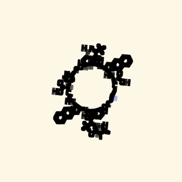 CN[C@@H](C)C(=O)N[C@H](C(=O)N1CC[C@H]2OC/C=C/CC[C@@H](C(=O)O)NC(=O)[C@H](Cc3ccc4ccccc4c3)NC(=O)[C@@H]3[C@@H](CCN3C(=O)C(P)C(C)(C)C)OCc3cn(nn3)[C@H](C(=O)O)CCNC(=O)[C@H](Cc3ccc4ccccc4c3)NC(=O)[C@H]21)C(C)(C)C